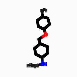 CCCCCCCNC1CCC(COC2CCC(CCC)CC2)CC1